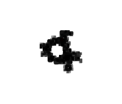 COc1ccc(C[C@H]2C(=O)OC[C@H](NC(=O)[C@@H](CC(C)C)N(C)C(=O)OCc3ccccc3)C(=O)N[C@H](C(C)C)[C@@H](O)CC(=O)O[C@@H](C(C)C)C(=O)N[C@@H](CC(C)C)C(=O)N3CCC[C@H]3C(=O)N2C)cc1